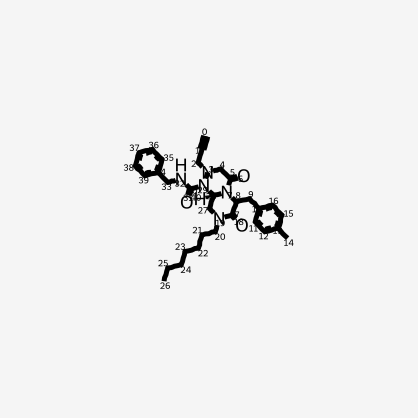 C#CCN1CC(=O)N2C(Cc3ccc(C)cc3)C(=O)N(CCCCCCC)C[C@@H]2N1C(=O)NCc1ccccc1